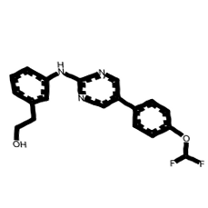 OCCc1cccc(Nc2ncc(-c3ccc(OC(F)F)cc3)cn2)c1